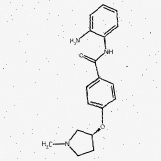 CN1CC[C@H](Oc2ccc(C(=O)Nc3ccccc3N)cc2)C1